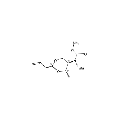 C=CC[C@H]1OC[C@@H](N(C(=O)ON)C(C)(C)C)[C@@H](C)O1